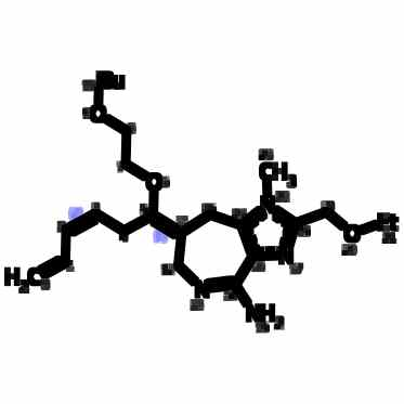 C=C/C=C\C/C(OCCOC(C)CC)=C1\CN=C(N)c2nc(COCC)n(C)c2C1